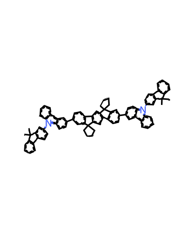 CC1(C)c2ccccc2-c2ccc(-n3c4ccccc4c4cc(-c5ccc6c(c5)C5(CCCC5)c5cc7c(cc5-6)C5(CCCC5)c5cc(-c6ccc8c(c6)c6ccccc6n8-c6ccc8c(c6)C(C)(C)c6ccccc6-8)ccc5-7)ccc43)cc21